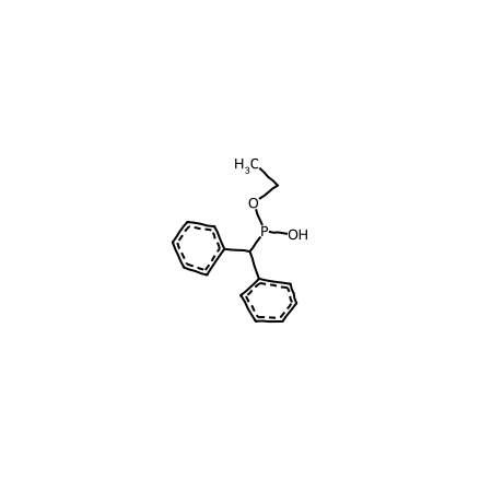 CCOP(O)C(c1ccccc1)c1ccccc1